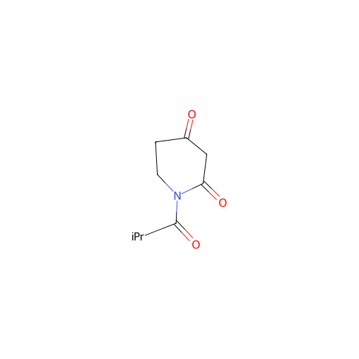 CC(C)C(=O)N1CCC(=O)CC1=O